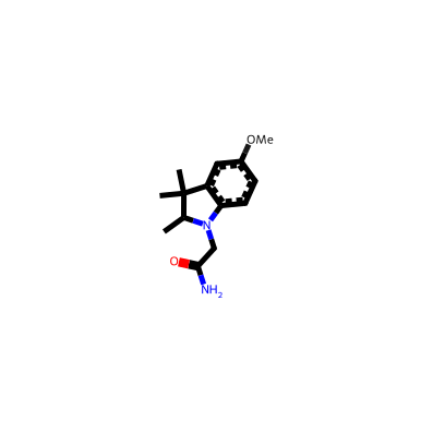 COc1ccc2c(c1)C(C)(C)C(C)N2CC(N)=O